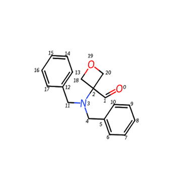 O=CC1(N(Cc2ccccc2)Cc2ccccc2)COC1